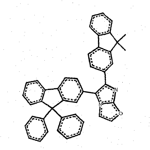 CC1(C)c2ccccc2-c2ccc(-c3nc4occn4c3-c3ccc4c(c3)C(c3ccccc3)(c3ccccc3)c3ccccc3-4)cc21